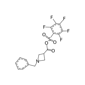 O=C(OS(=O)(=O)c1c(F)c(F)c(F)c(F)c1F)C1CN(Cc2ccccc2)C1